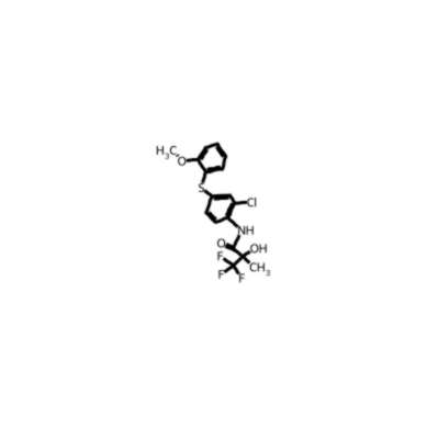 COc1ccccc1Sc1ccc(NC(=O)C(C)(O)C(F)(F)F)c(Cl)c1